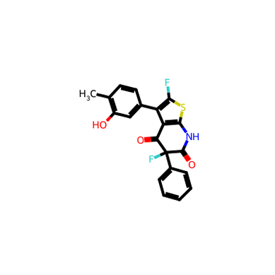 Cc1ccc(-c2c(F)sc3c2C(=O)C(F)(c2ccccc2)C(=O)N3)cc1O